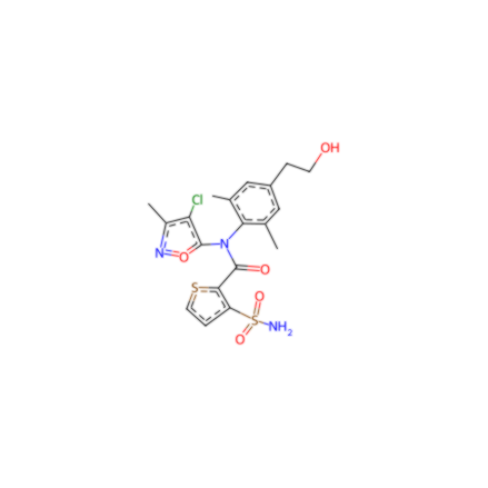 Cc1cc(CCO)cc(C)c1N(C(=O)c1sccc1S(N)(=O)=O)c1onc(C)c1Cl